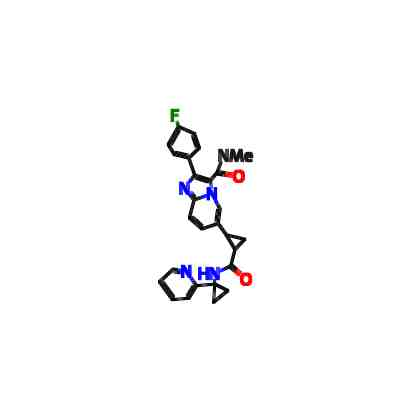 CNC(=O)c1c(-c2ccc(F)cc2)nc2ccc(C3CC3C(=O)NC3(c4ccccn4)CC3)cn12